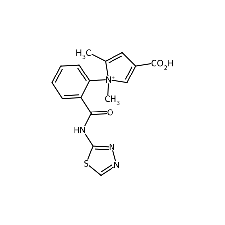 CC1=CC(C(=O)O)=C[N+]1(C)c1ccccc1C(=O)Nc1nncs1